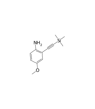 COc1ccc(N)c(C#C[Si](C)(C)C)c1